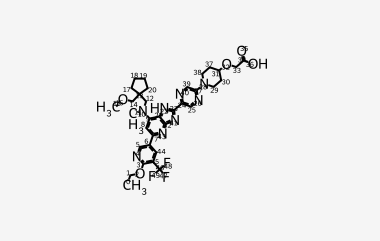 CCOc1ncc(-c2cc(N(C)CC3(COC)CCCC3)c3[nH]c(-c4cnc(N5CCC(OCC(=O)O)CC5)cn4)nc3n2)cc1C(F)(F)F